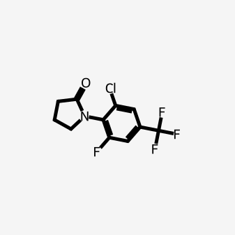 O=C1CCCN1c1c(F)cc(C(F)(F)F)cc1Cl